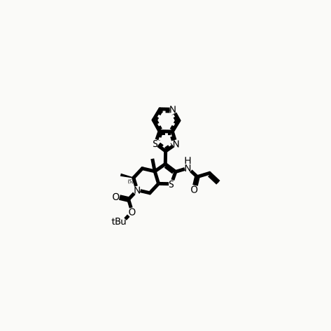 C=CC(=O)NC1=C(c2nc3cnccc3s2)C2(C)C[C@H](C)N(C(=O)OC(C)(C)C)CC2S1